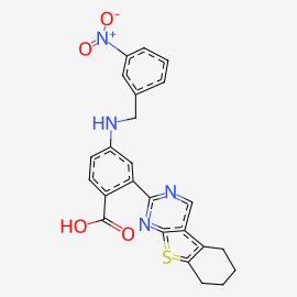 O=C(O)c1ccc(NCc2cccc([N+](=O)[O-])c2)cc1-c1ncc2c3c(sc2n1)CCCC3